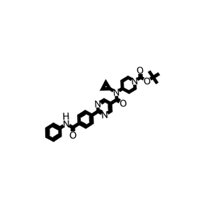 CC(C)(C)OC(=O)N1CCC(N(C(=O)c2cnc(-c3ccc(C(=O)Nc4ccccc4)cc3)nc2)C2CC2)CC1